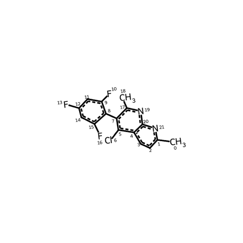 Cc1ccc2c(Cl)c(-c3c(F)cc(F)cc3F)c(C)nc2n1